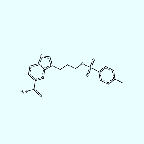 Cc1ccc(S(=O)(=O)OCCCc2csc3ccc(C(N)=O)cc23)cc1